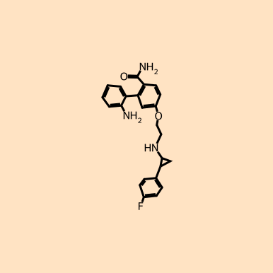 NC(=O)c1ccc(OCCNC2CC2c2ccc(F)cc2)cc1-c1ccccc1N